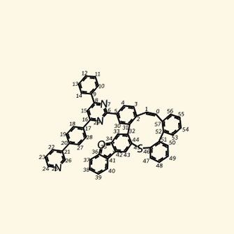 C1=C\c2ccc(-c3nc(-c4ccccc4)cc(-c4ccc(-c5cccnc5)cc4)n3)cc2-c2cc3oc4ccccc4c3cc2Sc2ccccc2-c2ccccc2/1